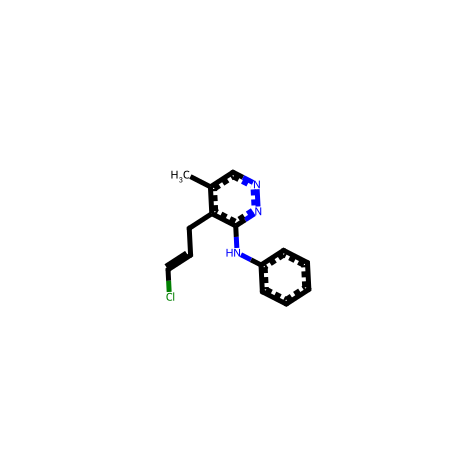 Cc1cnnc(Nc2ccccc2)c1CC=CCl